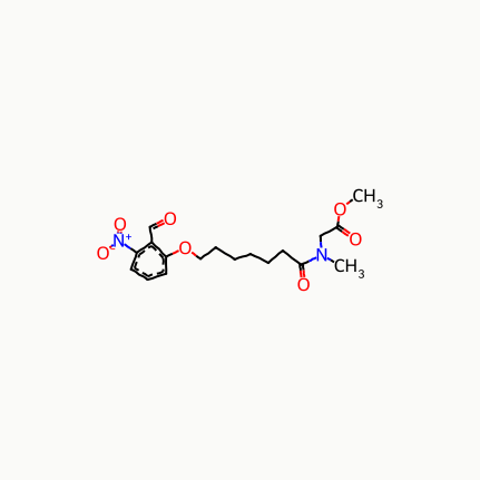 COC(=O)CN(C)C(=O)CCCCCCOc1cccc([N+](=O)[O-])c1C=O